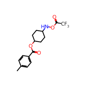 Cc1ccc(C(=O)OC2CCC(NOC(=O)C(F)(F)F)CC2)cc1